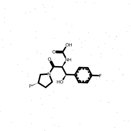 O=C(O)N[C@H](C(=O)N1CC[C@H](F)C1)[C@H](O)c1ccc(F)cc1